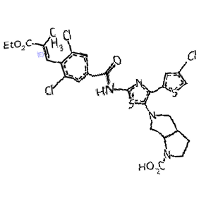 CCOC(=O)/C(C)=C/c1c(Cl)cc(C(=O)Nc2nc(-c3cc(Cl)cs3)c(N3CC4CCN(C(=O)O)C4C3)s2)cc1Cl